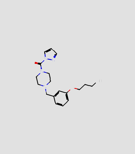 CCCCOc1cccc(CN2CCN(C(=O)n3cccn3)CC2)c1